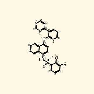 O=S(=O)(Nc1ccc(Oc2ncccc2-c2ccncn2)c2ccccc12)c1cccc(Cl)c1Cl